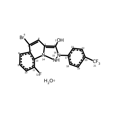 O.OC1=C2C=C(Br)c3cccc(F)c3N2NN1c1ccc(C(F)(F)F)cc1